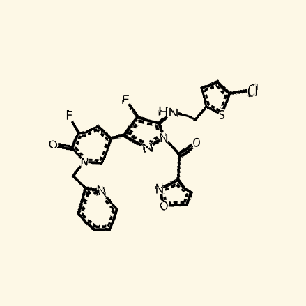 O=C(c1ccon1)n1nc(-c2cc(F)c(=O)n(Cc3ccccn3)c2)c(F)c1NCc1ccc(Cl)s1